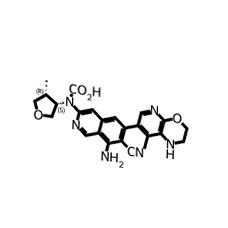 Cc1c(-c2cc3cc(N(C(=O)O)[C@@H]4COC[C@@H]4C)ncc3c(N)c2C#N)cnc2c1NCCO2